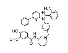 Nc1ncccc1-c1nc2ccc(-c3ccccc3)nc2n1-c1ccc(CN2CCCCC(NC(=O)c3ccc(O)c(C=O)c3)C2)cc1